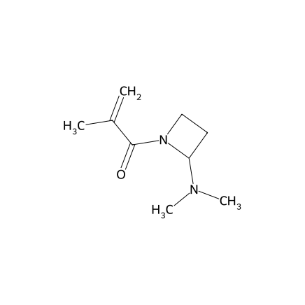 C=C(C)C(=O)N1CCC1N(C)C